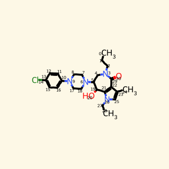 CCCN1CC(N2CCN(c3ccc(Cl)cc3)CC2)C(O)c2c(c(C)cn2CC)C1=O